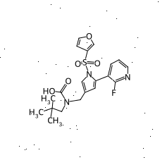 CC(C)(C)CN(Cc1cc(-c2cccnc2F)n(S(=O)(=O)c2ccoc2)c1)C(=O)O